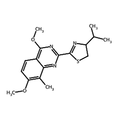 COc1ccc2c(OC)nc(C3=NC(C(C)C)CS3)nc2c1C